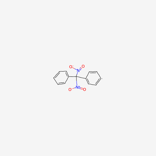 O=[N+]([O-])C(c1cc[c]cc1)(c1ccccc1)[N+](=O)[O-]